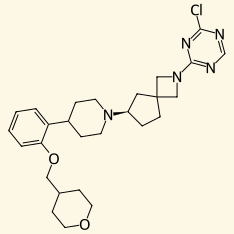 Clc1ncnc(N2CC3(CC[C@@H](N4CCC(c5ccccc5OCC5CCOCC5)CC4)C3)C2)n1